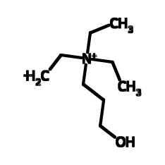 [CH2]C[N+](CC)(CC)CCCO